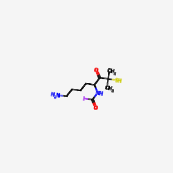 CC(C)(S)C(=O)C(CCCCN)NC(=O)I